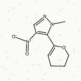 Cn1ncc([N+](=O)[O-])c1C1=CCCCO1